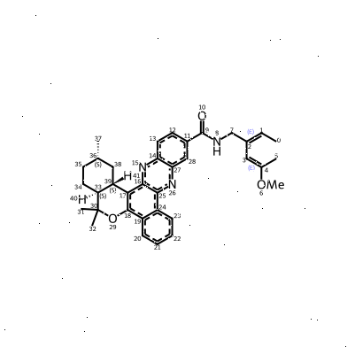 C/C=C(\C=C(/C)OC)CNC(=O)c1ccc2nc3c4c(c5ccccc5c3nc2c1)OC(C)(C)[C@H]1CC[C@H](C)C[C@H]41